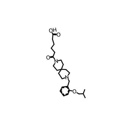 CC(C)COc1ccccc1CN1CCC2(CC1)CCN(C(=O)CCCCC(=O)O)CC2